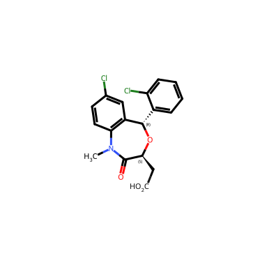 CN1C(=O)[C@H](CC(=O)O)O[C@@H](c2ccccc2Cl)c2cc(Cl)ccc21